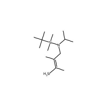 CC([SiH3])=C(C)CN(C(C)C)[Si](C)(C)C(C)(C)C